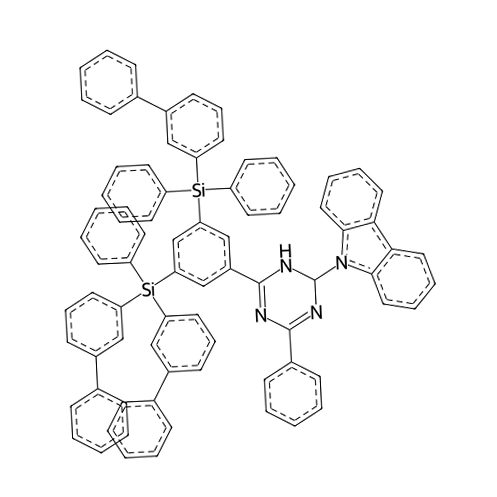 c1ccc(C2=NC(n3c4ccccc4c4ccccc43)NC(c3cc([Si](c4ccccc4)(c4ccccc4)c4cccc(-c5ccccc5)c4)cc([Si](c4ccccc4)(c4cccc(-c5ccccc5)c4)c4cccc(-c5ccccc5)c4)c3)=N2)cc1